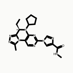 CC[C@@H]1c2nnc(C)n2-c2cnc(-n3cnc(C(=O)NC)c3)nc2N1C1CCCC1